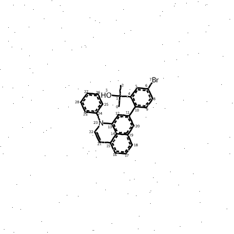 CC(C)(O)c1cc(Br)ccc1-c1cc2c3c(cccc3c1)C=CN2c1ccccc1